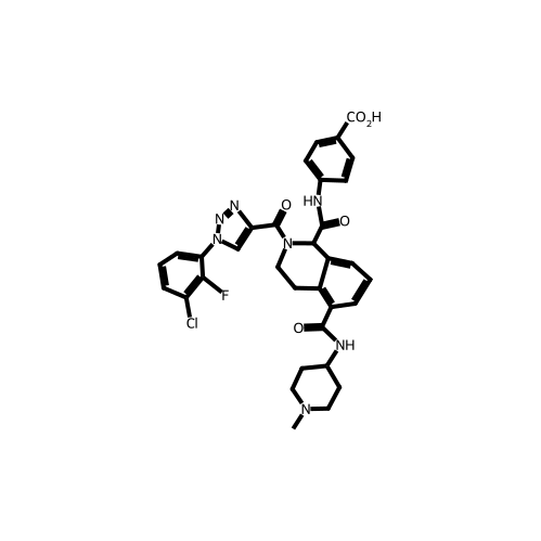 CN1CCC(NC(=O)c2cccc3c2CCN(C(=O)c2cn(-c4cccc(Cl)c4F)nn2)C3C(=O)Nc2ccc(C(=O)O)cc2)CC1